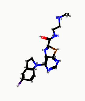 CNCCNC(=O)c1nc2c(N3CCc4cc(I)ccc43)ncnc2s1